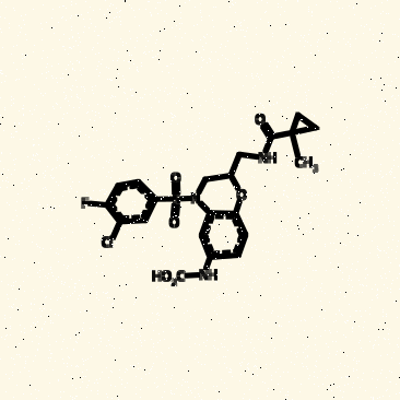 CC1(C(=O)NCC2CN(S(=O)(=O)c3ccc(F)c(Cl)c3)c3cc(NC(=O)O)ccc3O2)CC1